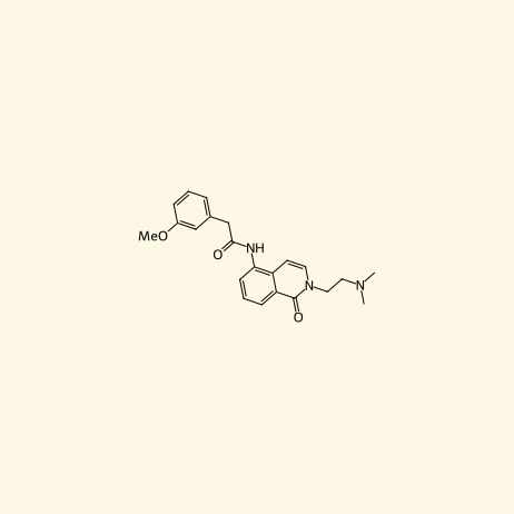 COc1cccc(CC(=O)Nc2cccc3c(=O)n(CCN(C)C)ccc23)c1